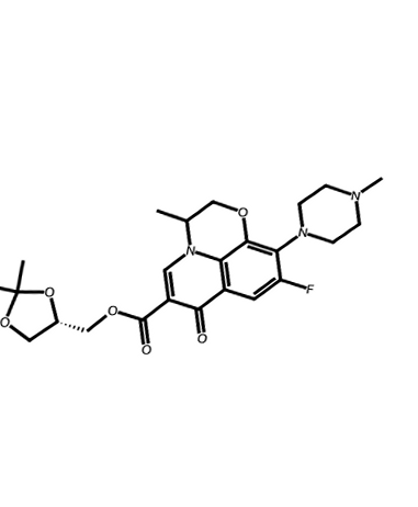 CC1COc2c(N3CCN(C)CC3)c(F)cc3c(=O)c(C(=O)OC[C@@H]4COC(C)(C)O4)cn1c23